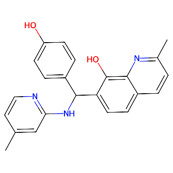 Cc1ccnc(NC(c2ccc(O)cc2)c2ccc3ccc(C)nc3c2O)c1